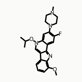 COc1cccc2c3cn(OC(C)C)c4cc(N5CCN(C)CC5)c(F)cc4c-3nc12